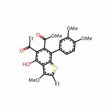 CCC(=O)c1c(C(=O)OC)c(-c2ccc(OC)c(OC)c2)c2sc(CC)c(OC)c2c1O